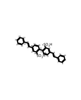 O=S(=O)(O)c1cc(C=Cc2ccccc2)ccc1-c1ccc(C=Cc2ccccc2)cc1S(=O)(=O)O